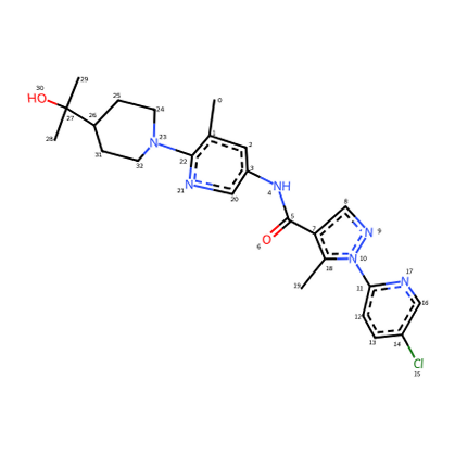 Cc1cc(NC(=O)c2cnn(-c3ccc(Cl)cn3)c2C)cnc1N1CCC(C(C)(C)O)CC1